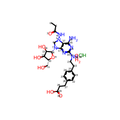 CCC(=O)NN1CN([C@@H]2O[C@H](CO)C(O)C2O)c2nc(NCCc3ccc(CCC(=O)O)cc3)nc(N)c21.Cl.O